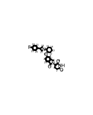 O=C1CC[C@H](N2Cc3cc(O[C@@H]4CCCC[C@H]4N4CC(c5ccc(F)cc5)C4)ccc3C2=O)C(=O)N1